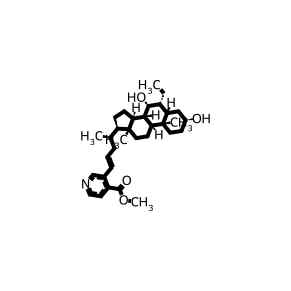 CC[C@H]1[C@@H](O)[C@@H]2[C@H](CC[C@]3(C)[C@@H]([C@H](C)C/C=C/c4cnccc4C(=O)OC)CC[C@@H]23)[C@@]2(C)CC[C@@H](O)C[C@@H]12